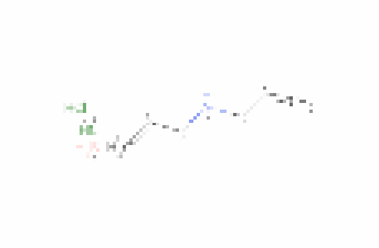 B.C=CCNCC=C.Cl.Cl